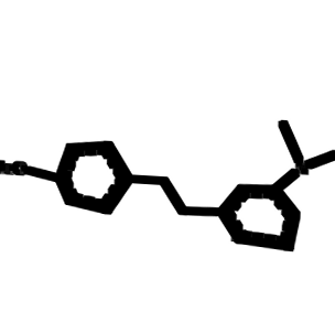 COc1ccc(CCc2[c]ccc(N(C)C)c2)cc1